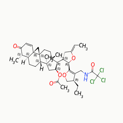 CC=C1C[C@@H]([C@H]2[C@@H](OC(C)=O)C[C@@]3(C)[C@@H]4CC[C@H]5[C@H](C)C(=O)C=C[C@@]56C[C@@]46CC[C@]23C)[C@H](C2=C(CNC(=O)C(Cl)(Cl)Cl)[C@@H](CC)CO2)O1